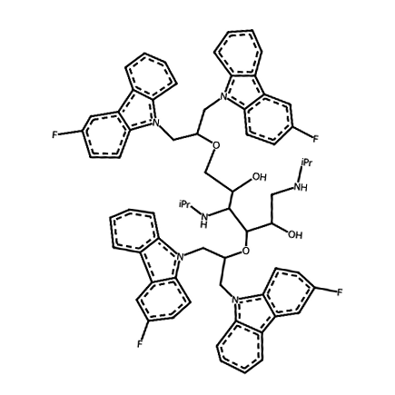 CC(C)NCC(O)C(OC(Cn1c2ccccc2c2cc(F)ccc21)Cn1c2ccccc2c2cc(F)ccc21)C(NC(C)C)C(O)COC(Cn1c2ccccc2c2cc(F)ccc21)Cn1c2ccccc2c2cc(F)ccc21